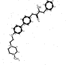 CN1CCN(CCOc2ccc(-c3ccc(CC(=O)C(O)Cc4ccccc4)cc3)cc2)CC1